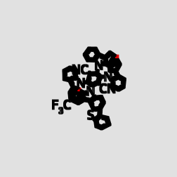 N#Cc1c(-n2c3ccccc3c3ccccc32)c(-n2c3ccccc3c3ccccc32)c(C#N)c(-n2c3ccc(C(F)(F)F)cc3c3c4sc5ccccc5c4ccc32)c1-n1c2ccccc2c2ccccc21